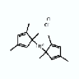 CC1=C[C](C)([Hf+2][C]2(C)C=C(C)C=C2C)C(C)=C1.[Cl-].[Cl-]